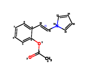 CC(=O)Oc1ccccc1/C=C/n1[c]ccc1